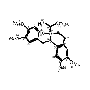 COc1ccc(C[C@@H]2c3cc(OC)c(OC)cc3CC[N+]2(C)C(C)C(=O)O)cc1OC